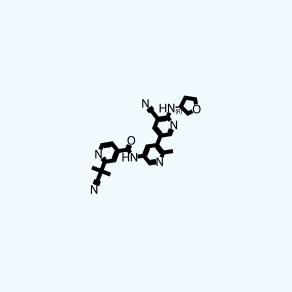 Cc1ncc(NC(=O)c2ccnc(C(C)(C)C#N)c2)cc1-c1cnc(N[C@@H]2CCOC2)c(C#N)c1